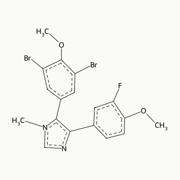 COc1ccc(-c2ncn(C)c2-c2cc(Br)c(OC)c(Br)c2)cc1F